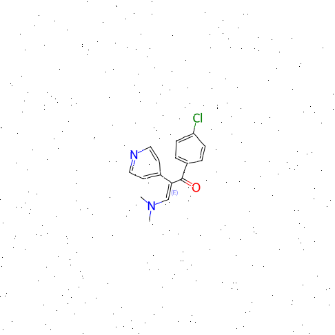 CN(C)/C=C(/C(=O)c1ccc(Cl)cc1)c1ccncc1